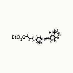 CCOC(=O)CCCCc1ccc(C#Cc2ccc3c(c2)C(CC)(CC)CCS3)nn1